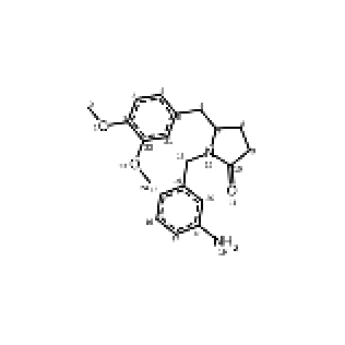 COc1ccc(CC2CCC(=O)N2Cc2cccc(N)c2)cc1OC